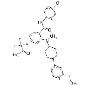 CN(c1ccccc1C(=O)Nc1ccc(Cl)cn1)C1CCN(c2ccnc(CO)c2)CC1.O=C(O)C(F)(F)F